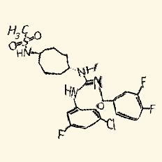 CS(=O)(=O)N[C@H]1CC[C@H](N/C(=N/C(=O)c2ccc(F)c(F)c2)Nc2cc(F)cc(Cl)c2)CC1